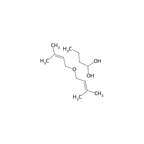 CC(C)=CCOCC=C(C)C.CCCC(O)O